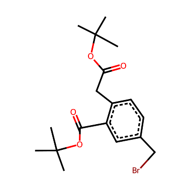 CC(C)(C)OC(=O)Cc1ccc(CBr)cc1C(=O)OC(C)(C)C